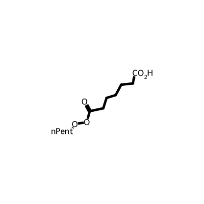 CCCCCOOC(=O)CCCCCC(=O)O